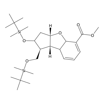 COC(=O)C1=CC=CC2C1O[C@H]1CC(O[Si](C)(C)C(C)(C)C)[C@H](CO[Si](C)(C)C(C)(C)C)[C@@H]21